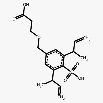 C=CC(C)c1cc(COCCC(=O)O)cc(C(C)C=C)c1S(=O)(=O)O